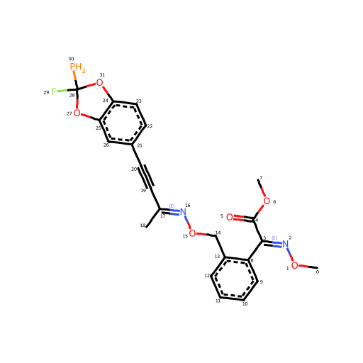 CO/N=C(/C(=O)OC)c1ccccc1CO/N=C(\C)C#Cc1ccc2c(c1)OC(F)(P)O2